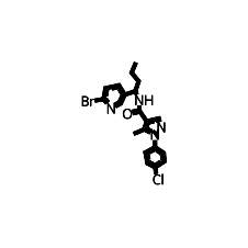 CCCC(NC(=O)c1cnn(-c2ccc(Cl)cc2)c1C)c1ccc(Br)nc1